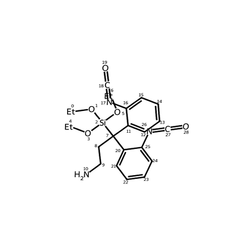 CCO[Si](OCC)(OCC)C(CCN)(c1ccccc1N=C=O)c1ccccc1N=C=O